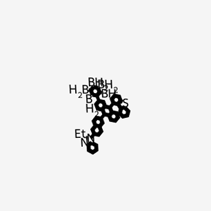 Bc1c(B)c(B)c(-c2ccc3c(-c4ccc5cc(-n6c(CC)nc7ccccc76)ccc5c4)c4ccccc4c(-c4cccc5sc6ccccc6c45)c3c2)c(B)c1B